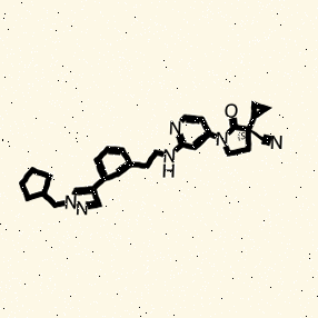 N#C[C@@]1(C2CC2)CCN(c2ccnc(NCCc3cccc(-c4cnn(CC5CCCC5)c4)c3)c2)C1=O